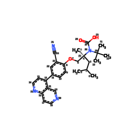 CC(C)C[C@@](C)(COc1ccc(-c2ccnc3ccncc23)cc1C#N)N(C(=O)O)C(C)(C)C